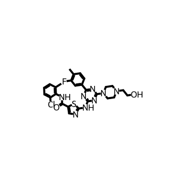 Cc1ccc(-c2nc(Nc3ncc(C(=O)Nc4c(C)cccc4Cl)s3)nc(N3CCN(CCO)CC3)n2)cc1F